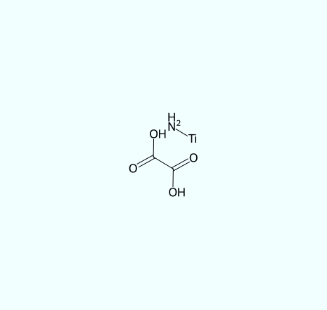 O=C(O)C(=O)O.[NH2][Ti]